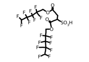 O=C(CC(C(=O)OCC(F)(F)C(F)(F)C(F)(F)C(F)F)S(=O)(=O)O)OCC(F)(F)C(F)(F)C(F)(F)C(F)F